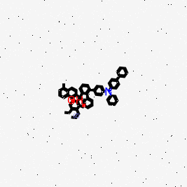 C/C=C\c1c(CC)ccc(C2(c3ccc4c(C)cccc4c3O)c3ccccc3-c3c(-c4ccc(N(c5ccccc5)c5ccc(-c6ccccc6)cc5)cc4)cccc32)c1C